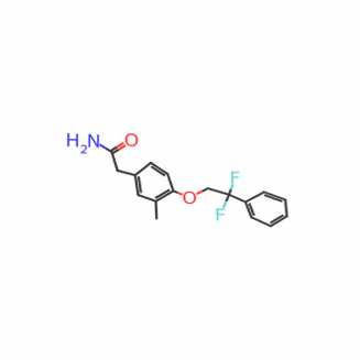 Cc1cc(CC(N)=O)ccc1OCC(F)(F)c1ccccc1